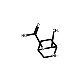 CC1C2CCC(CN2)N1C(=O)O